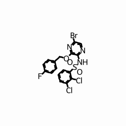 O=S(=O)(Nc1ncc(Br)nc1OCc1ccc(F)cc1)c1cccc(Cl)c1Cl